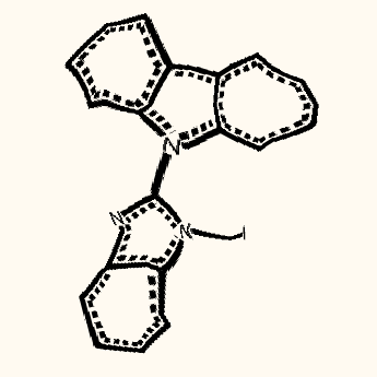 In1c(-n2c3ccccc3c3ccccc32)nc2ccccc21